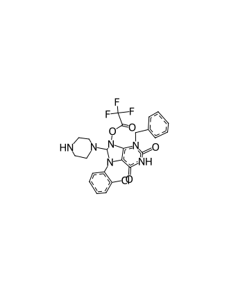 O=C(ON1c2c(c(=O)[nH]c(=O)n2Cc2ccccc2)N(c2ccccc2Cl)C1N1CCNCC1)C(F)(F)F